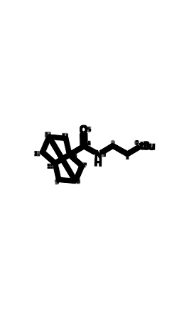 CC(C)(C)CCNC(=O)C12CC3CC1CC3C2